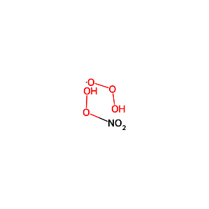 O=[N+]([O-])OO.[O]OO